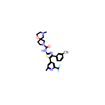 Cc1cc(-c2sc(NC(=O)N3CCC4(CN(C)CCO4)C3)nc2-c2cccc(C#N)c2)cc(C(F)F)n1